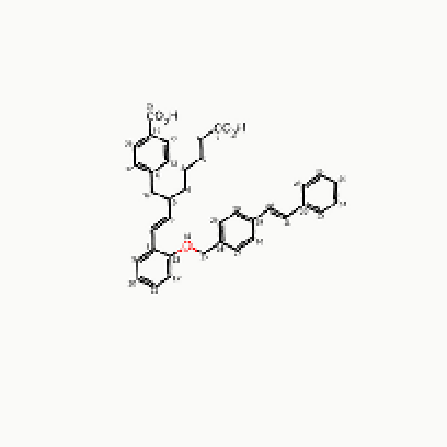 O=C(O)CCCCC(/C=C/c1ccccc1OCc1ccc(/C=C/c2ccccc2)cc1)Cc1ccc(C(=O)O)cc1